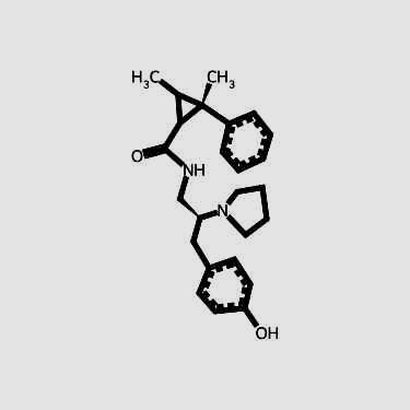 CC1C(C(=O)NC[C@H](Cc2ccc(O)cc2)N2CCCC2)[C@@]1(C)c1ccccc1